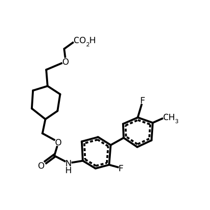 Cc1ccc(-c2ccc(NC(=O)OCC3CCC(COCC(=O)O)CC3)cc2F)cc1F